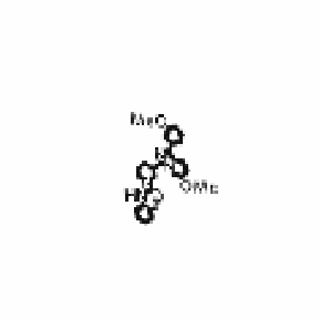 COc1cccc(-c2nc(C3CCCN(C(=O)Nc4ccccc4F)C3)n3cc(OC)ccc23)c1